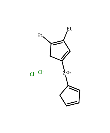 CCC1=C(CC)C[C]([Zr+2][C]2=CC=CC2)=C1.[Cl-].[Cl-]